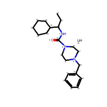 CCC(NC(=O)N1CCN(Cc2ccccc2)CC1)C1CCCCC1.[LiH]